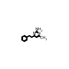 Cc1cc(CCc2ccccc2)nc(N)n1